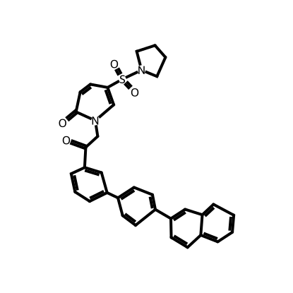 O=C(Cn1cc(S(=O)(=O)N2CCCC2)ccc1=O)c1cccc(-c2ccc(-c3ccc4ccccc4c3)cc2)c1